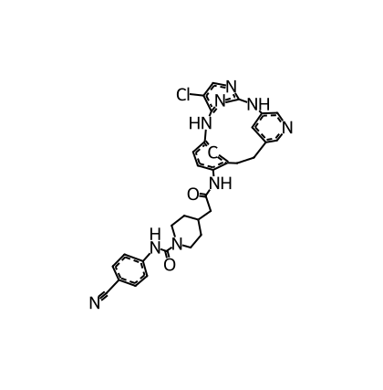 N#Cc1ccc(NC(=O)N2CCC(CC(=O)Nc3ccc4cc3CCc3cncc(c3)Nc3ncc(Cl)c(n3)N4)CC2)cc1